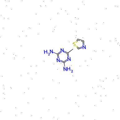 Cc1nc(N)nc(N)n1.c1cscn1